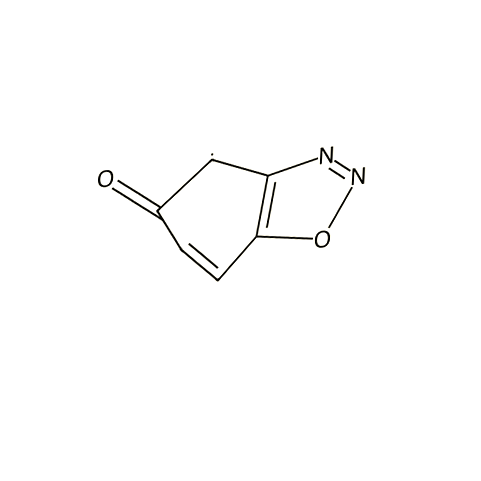 O=C1[CH]c2nnoc2C=C1